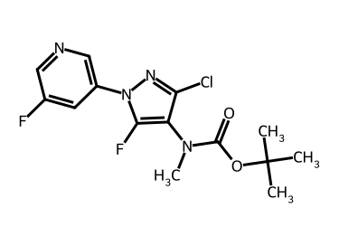 CN(C(=O)OC(C)(C)C)c1c(Cl)nn(-c2cncc(F)c2)c1F